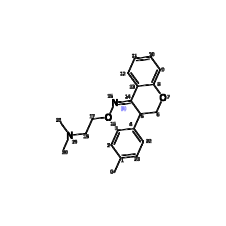 Cc1ccc(C2COc3ccccc3/C2=N/OCCN(C)C)cc1